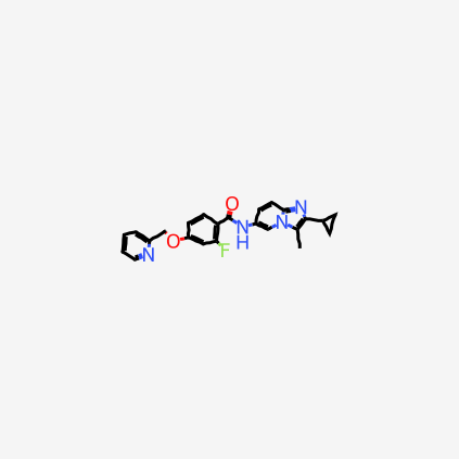 Cc1c(C2CC2)nc2ccc(NC(=O)c3ccc(OCc4ccccn4)cc3F)cn12